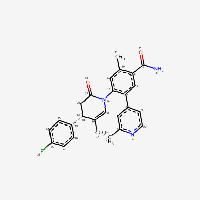 Cc1cc(-c2cc(C(N)=O)c(C)cc2N2C=C(C(=O)O)[C@H](c3ccc(F)cc3)CC2=O)ccn1